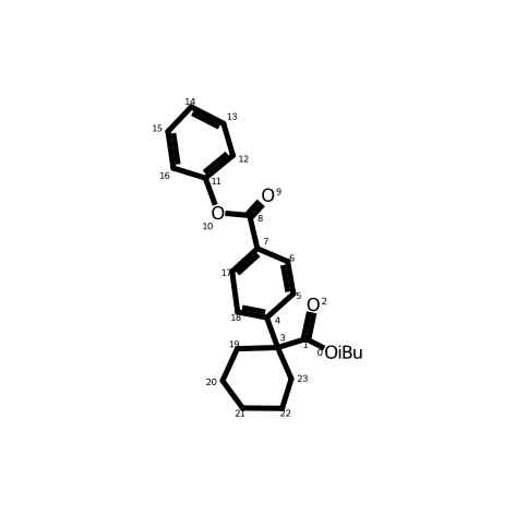 CC(C)COC(=O)C1(c2ccc(C(=O)Oc3ccccc3)cc2)CCCCC1